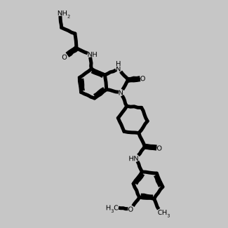 COc1cc(NC(=O)C2CCC(n3c(=O)[nH]c4c(NC(=O)CCN)cccc43)CC2)ccc1C